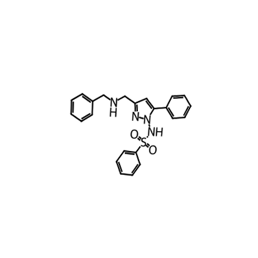 O=S(=O)(Nn1nc(CNCc2ccccc2)cc1-c1ccccc1)c1ccccc1